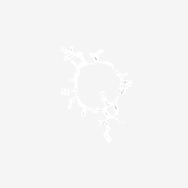 C=CCNC1=C2C[C@@H](C)C[C@H](OC)[C@H](O)[C@@H](C)C=C(C)[C@H](OC(N)=O)[C@@H](OC)CCC=C(C)C(=O)NC(=CC1=O)C2=O